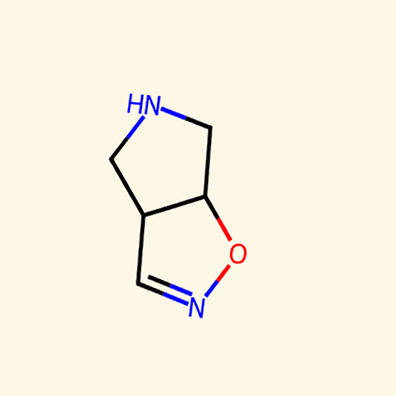 C1=NOC2CNCC12